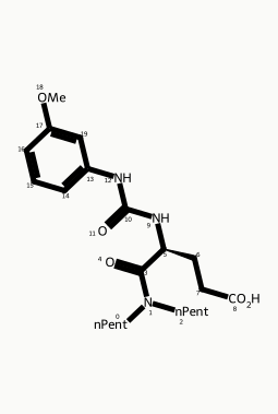 CCCCCN(CCCCC)C(=O)[C@H](CCC(=O)O)NC(=O)Nc1cccc(OC)c1